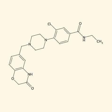 CCNC(=O)c1ccc(N2CCN(Cc3ccc4c(c3)NC(=O)CO4)CC2)c(Cl)c1